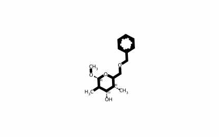 CO[C@@H]1OC(COCc2ccccc2)[C@H](C)[C@H](O)C1C